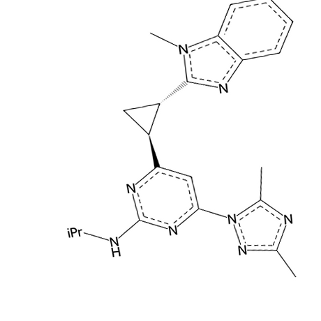 Cc1nc(C)n(-c2cc([C@H]3C[C@@H]3c3nc4ccccc4n3C)nc(NC(C)C)n2)n1